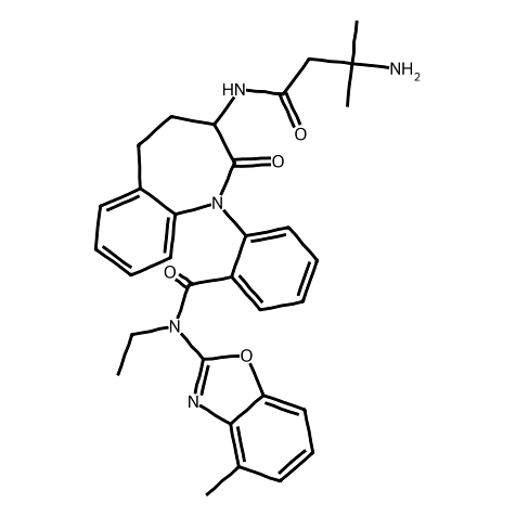 CCN(C(=O)c1ccccc1N1C(=O)C(NC(=O)CC(C)(C)N)CCc2ccccc21)c1nc2c(C)cccc2o1